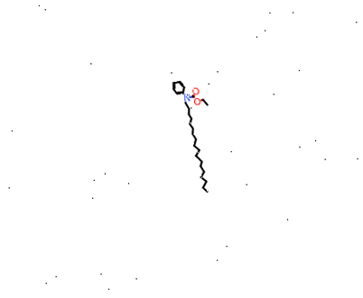 CCCCCCCCCCCCCCCCCCN(C(=O)OCC)c1ccccc1